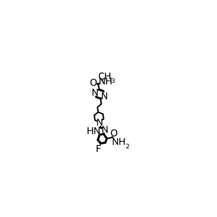 CNC(=O)c1cnc(CCC2CCN(c3nc4c(C(N)=O)cc(F)cc4[nH]3)CC2)cn1